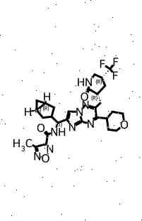 Cc1nonc1C(=O)N[C@H](c1cn2nc(C[C@H]3C[C@@H](C(F)(F)F)CNC3=O)c(C3CCOCC3)nc2n1)C1C[C@@H]2C[C@@H]2C1